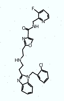 O=C(NCc1ncccc1F)c1coc(CCNCCc2nc3ccccc3n2Cc2ccccc2Cl)n1